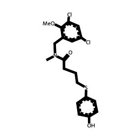 COc1c(Cl)cc(Cl)cc1CN(C)C(=O)CCCSc1ccc(O)cc1